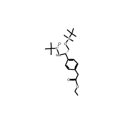 CCOC(=O)Cc1ccc([C@@H](CO[Si](C)(C)C(C)(C)C)N[S@@+]([O-])C(C)(C)C)cc1